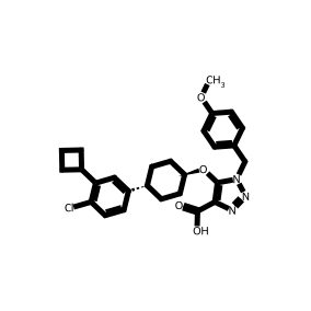 COc1ccc(Cn2nnc(C(=O)O)c2O[C@H]2CC[C@H](c3ccc(Cl)c(C4CCC4)c3)CC2)cc1